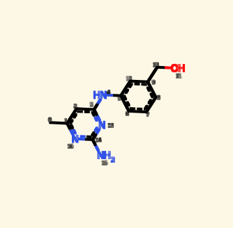 Cc1cc(Nc2cccc(CO)c2)nc(N)n1